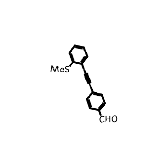 CSc1ccccc1C#Cc1ccc(C=O)cc1